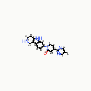 Cc1cnc(-c2ccn(-c3ccc4c5c([nH]c4c3)CCNC5)c(=O)c2)nc1